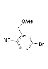 COCc1cc(Br)ccc1C#N